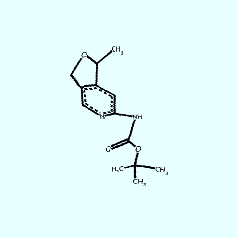 CC1OCc2cnc(NC(=O)OC(C)(C)C)cc21